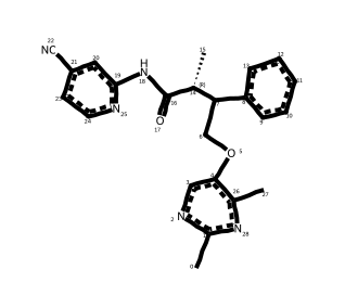 Cc1ncc(OCC(c2ccccc2)[C@@H](C)C(=O)Nc2cc(C#N)ccn2)c(C)n1